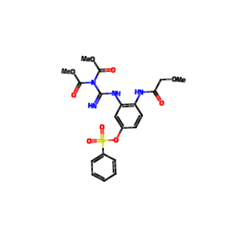 COCC(=O)Nc1ccc(OS(=O)(=O)c2ccccc2)cc1NC(=N)N(C(=O)OC)C(=O)OC